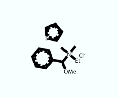 CC[N+](C)(C)C(OC)c1ccccc1.[Cl-].c1ccsc1